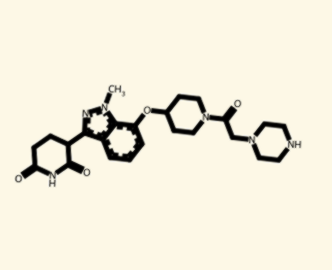 Cn1nc(C2CCC(=O)NC2=O)c2cccc(OC3CCN(C(=O)CN4CCNCC4)CC3)c21